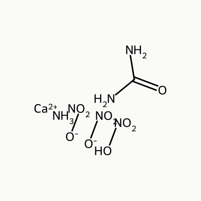 N.NC(N)=O.O=[N+]([O-])O.O=[N+]([O-])[O-].O=[N+]([O-])[O-].[Ca+2]